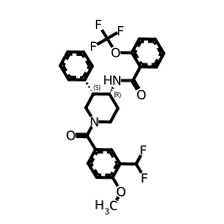 COc1ccc(C(=O)N2CC[C@@H](NC(=O)c3ccccc3OC(F)(F)F)[C@@H](c3ccccc3)C2)cc1C(F)F